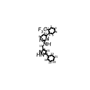 FC(F)(F)c1ccccc1-c1ccnc(NCc2cc(-c3ccccc3)[nH]n2)n1